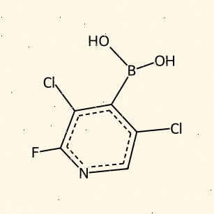 OB(O)c1c(Cl)cnc(F)c1Cl